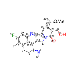 C=N[C@H]1CCc2c(C)c(F)cc3nc4c(c1c23)Cn1c-4cc(C(=C)OC)c(CO)c1=O